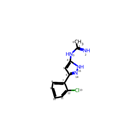 CC(=N)Nc1cc(-c2ccccc2Cl)n[nH]1